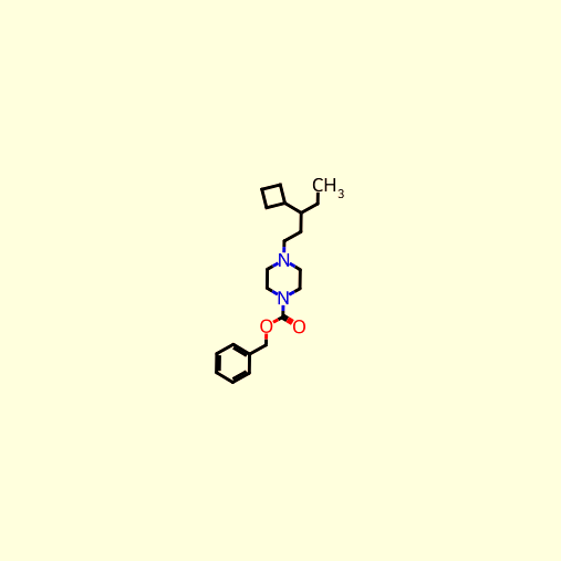 CCC(CCN1CCN(C(=O)OCc2ccccc2)CC1)C1CCC1